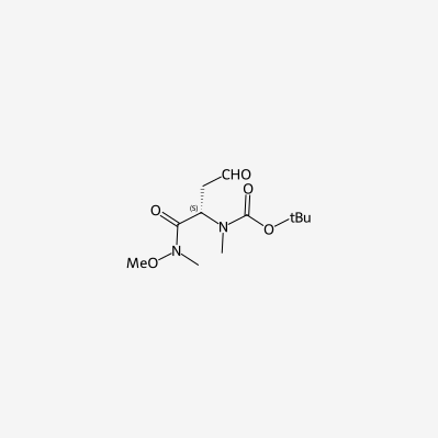 CON(C)C(=O)[C@H](CC=O)N(C)C(=O)OC(C)(C)C